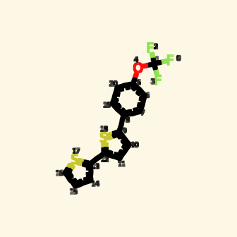 FC(F)(F)Oc1ccc(-c2ccc(-c3cccs3)s2)cc1